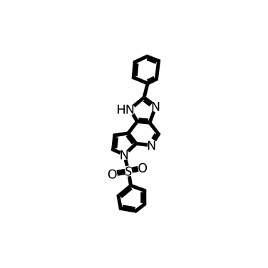 O=S(=O)(c1ccccc1)n1ccc2c3[nH]c(-c4ccccc4)nc3cnc21